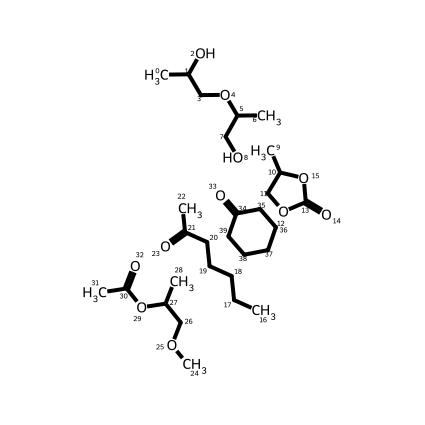 CC(O)COC(C)CO.CC1COC(=O)O1.CCCCCC(C)=O.COCC(C)OC(C)=O.O=C1CCCCC1